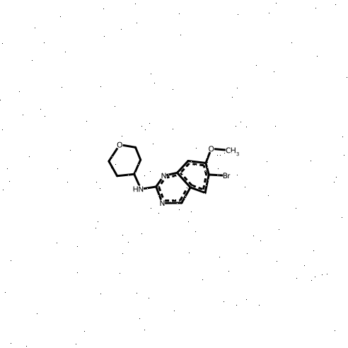 COc1cc2nc(NC3CCOCC3)ncc2cc1Br